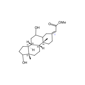 COC(=O)/C=C1/CC[C@@]2(C)C(C1)C(O)C[C@@H]1[C@H]2CC[C@]2(C)C(O)CC[C@@H]12